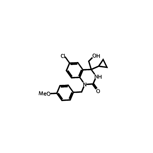 COc1ccc(CN2C(=O)NC(CO)(C3CC3)c3cc(Cl)ccc32)cc1